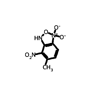 Cc1ccc2c(c1[N+](=O)[O-])NO[N+]2([O-])[O-]